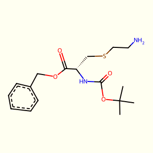 CC(C)(C)OC(=O)N[C@@H](CSCCN)C(=O)OCc1ccccc1